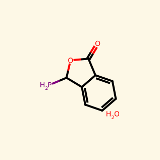 O.O=C1OC(P)c2ccccc21